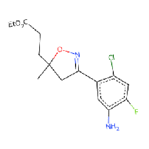 CCOC(=O)CCC1(C)CC(c2cc(N)c(F)cc2Cl)=NO1